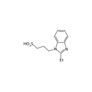 CCc1nc2ccccc2n1CCCS(=O)(=O)O